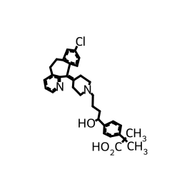 CC(C)(C(=O)O)c1ccc(C(O)CCCN2CCC(=C3c4ccc(Cl)cc4CCc4cccnc43)CC2)cc1